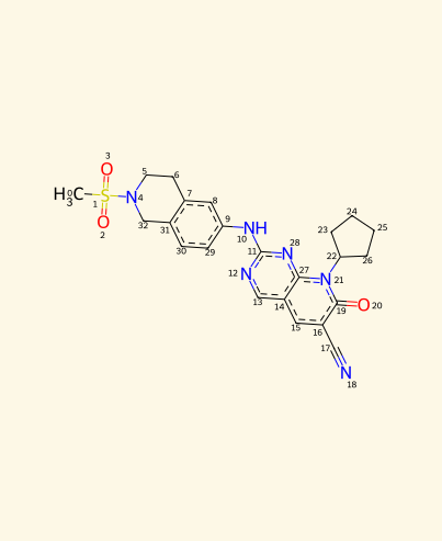 CS(=O)(=O)N1CCc2cc(Nc3ncc4cc(C#N)c(=O)n(C5CCCC5)c4n3)ccc2C1